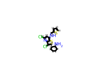 N[C@@H]1CCCC[C@H]1c1sc2c(NCc3cccs3)cc(Cl)nc2c1Cl